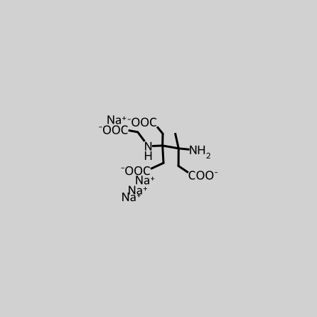 CC(N)(CC(=O)[O-])C(CC(=O)[O-])(CC(=O)[O-])NCC(=O)[O-].[Na+].[Na+].[Na+].[Na+]